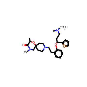 CC1OC2(CCN(CCc3ccccc3OC(CCN(C)C(=O)O)c3cccs3)CC2)CN(C(C)C)C1=O